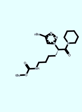 CCCCc1cn([C@@H](CCCCNC(=O)OC(C)(C)C)C(=O)N2CCCCC2)nn1